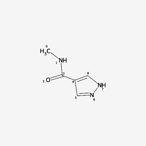 CNC(=O)c1cn[nH]c1